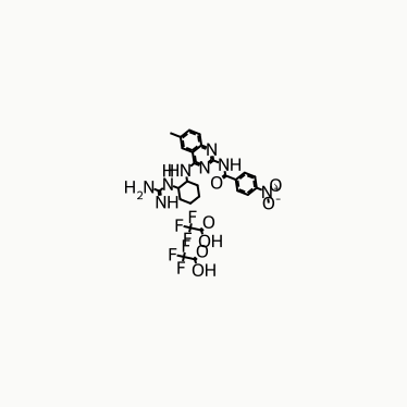 Cc1ccc2nc(NC(=O)c3ccc([N+](=O)[O-])cc3)nc(NC3CCCCC3NC(=N)N)c2c1.O=C(O)C(F)(F)F.O=C(O)C(F)(F)F